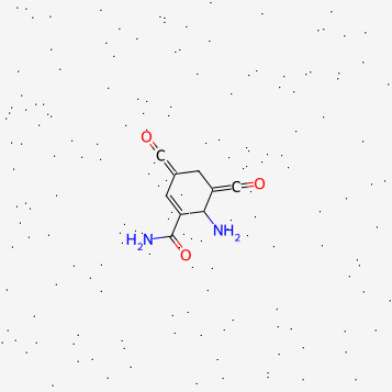 NC(=O)C1=CC(=C=O)CC(=C=O)C1N